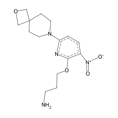 NCCCOc1nc(N2CCC3(CC2)COC3)ccc1[N+](=O)[O-]